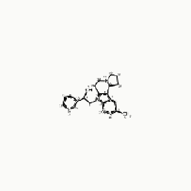 Cc1cc2c3c(n(CC(O)c4cccnc4)c2nn1)CCN1CCCC31